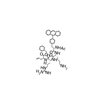 C=CC[C@H](NC(=O)[C@@H](CCCNC(=N)N)NC(=O)[C@@H](CCCCN)NC(=O)[C@H](Cc1ccc(-c2c3ccccc3cc3ccccc23)cc1)NC(C)=O)C(=O)OCc1ccccc1